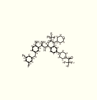 N=C(NC(=O)c1ccc(N2CCN(C(=O)C(F)(F)F)CC2)cc1N(C(=O)C(F)(F)F)C1CCOCC1)c1cc(Cc2cc(F)cc(F)c2)ccc1N